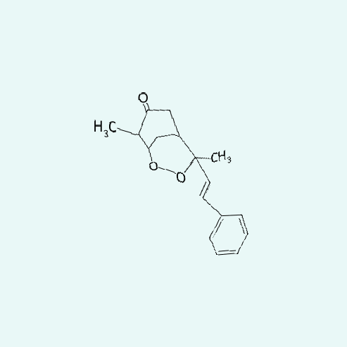 CC1C(=O)CC2CC1OOC2(C)C=Cc1ccccc1